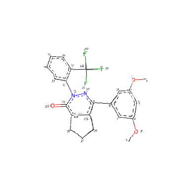 COc1cc(OC)cc(-c2nn(-c3ccccc3C(F)(F)F)c(=O)c3c2CCC3)c1